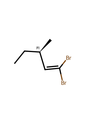 CC[C@@H](C)C=C(Br)Br